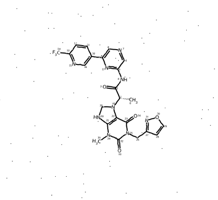 C[C@@H](C(=O)Nc1cncc(-c2ccc(C(F)(F)F)nc2)n1)N1CNc2c1c(=O)n(Cc1ccon1)c(=O)n2C